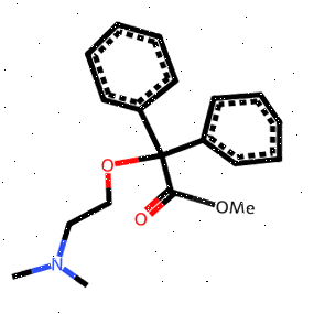 COC(=O)C(OCCN(C)C)(c1ccccc1)c1ccccc1